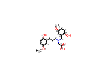 COc1ccc(O)c([CH]CCN(CC(=O)O)Cc2cc(OC)ccc2O)c1